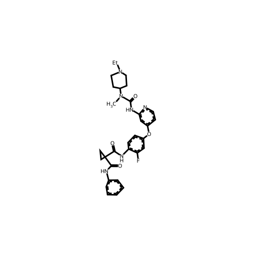 CCN1CCC(N(C)C(=O)Nc2cc(Oc3ccc(NC(=O)C4(C(=O)Nc5ccccc5)CC4)c(F)c3)ccn2)CC1